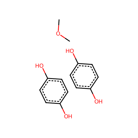 COC.Oc1ccc(O)cc1.Oc1ccc(O)cc1